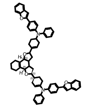 C1=C(C2CC3C4C[C@@H]([C@@H]5CC=C(N(c6ccccc6)c6ccc(-c7cc8ccccc8o7)cc6)CC5)O[C@H]4C4=C(CCCC4)[C@H]3O2)CCC(N(c2ccccc2)c2ccc(-c3cc4ccccc4o3)cc2)C1